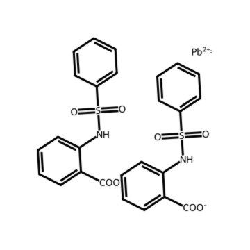 O=C([O-])c1ccccc1NS(=O)(=O)c1ccccc1.O=C([O-])c1ccccc1NS(=O)(=O)c1ccccc1.[Pb+2]